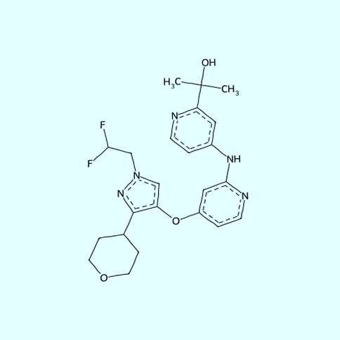 CC(C)(O)c1cc(Nc2cc(Oc3cn(CC(F)F)nc3C3CCOCC3)ccn2)ccn1